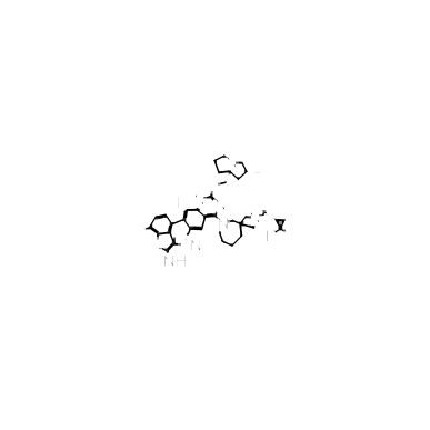 N#Cc1c(N)sc2c(F)ccc(-c3c(Cl)cc4c(N5CC(O)CCC6(CN(C(=O)[C@@H]7CC7(F)F)C6)C5)nc(OC[C@@]56CCCN5C[C@H](F)C6)nc4c3F)c12